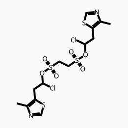 Cc1ncsc1CC(Cl)OS(=O)(=O)CCS(=O)(=O)OC(Cl)Cc1scnc1C